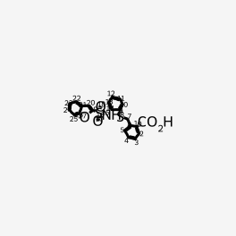 O=C(O)c1ccccc1CSc1ccccc1NS(=O)(=O)c1cc2ccccc2o1